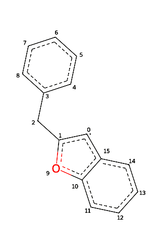 [c]1c(Cc2ccccc2)oc2ccccc12